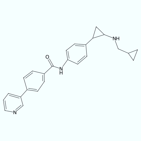 O=C(Nc1ccc(C2CC2NCC2CC2)cc1)c1ccc(-c2cccnc2)cc1